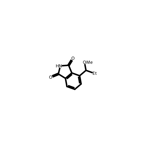 CCC(OC)c1cccc2c1C(=O)NC2=O